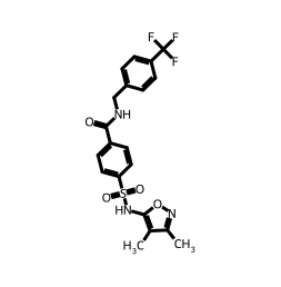 Cc1noc(NS(=O)(=O)c2ccc(C(=O)NCc3ccc(C(F)(F)F)cc3)cc2)c1C